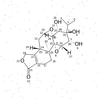 CC(C)[C@]1(O)[C@H](O)[C@@H]2O[C@]23[C@]2(O[C@H]2C[C@H]2C4=C(CC[C@@]23C)C(=O)OC4)[C@@H]1O